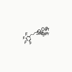 CC(C)OC(O[SiH2]CCCc1cc(F)c(F)c(F)c1F)OC(C)C